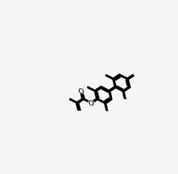 C=C(C)C(=O)Oc1c(C)cc(-c2c(C)cc(C)cc2C)cc1C